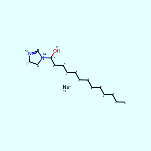 CCCCCCCCCCCCC(O)N1C=NCC1.[Na+]